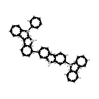 c1ccc(-n2c3ccccc3c3c4cccc(-c5ccc6c(c5)oc5cc(-n7c8ccccc8c8ccccc87)ccc56)c4oc32)cc1